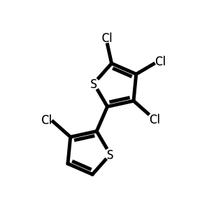 Clc1ccsc1-c1sc(Cl)c(Cl)c1Cl